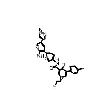 Cn1cc(-c2cnc(N)c(-c3ccc(NC(=O)c4cn(CCF)cc(-c5ccc(F)cc5)c4=O)cc3)c2)cn1